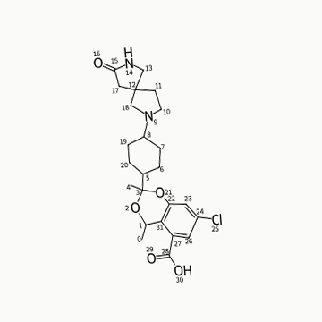 CC1OC(C)(C2CCC(N3CCC4(CNC(=O)C4)C3)CC2)Oc2cc(Cl)cc(C(=O)O)c21